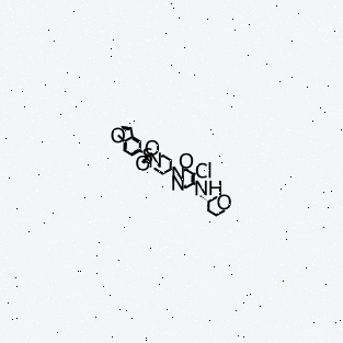 O=c1c(Cl)c(NC[C@H]2CCCOC2)cnn1C1CCN(S(=O)(=O)c2ccc3occc3c2)CC1